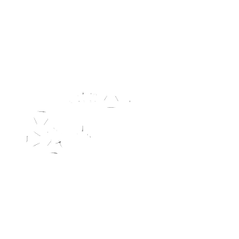 CCCCCCCCCCCCCCCCCCNC(=O)OCC(NC(c1ccccc1)(c1ccccc1)c1ccccc1)C(=O)OC.C[C@]12CC[C@@H]3c4ccc(O)cc4CC[C@H]3[C@@H]1CC[C@@H]2O